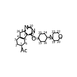 CC(=O)[C@H]1CCC2=C(C1)c1c(ncnc1O[C@H]1CC[C@H](N3CCOCC3)CC1)C2